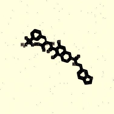 CS(=O)(=O)c1cccc(C[C@H](NC(=O)c2c(Cl)cc3c(c2Cl)CCC(C(=O)NCc2ccc4ccoc4c2)C3)C(=O)O)c1